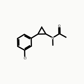 CC(=O)N(C)C1CC1c1cccc(Cl)c1